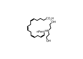 CCCCC/C=C\C/C=C\C/C=C\C/C=C\CCCC(=O)O.OCCNCCO